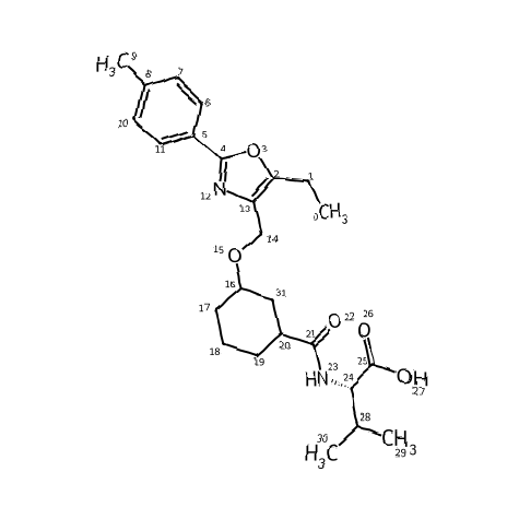 CCc1oc(-c2ccc(C)cc2)nc1COC1CCCC(C(=O)N[C@H](C(=O)O)C(C)C)C1